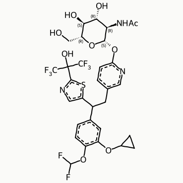 CC(=O)N[C@H]1[C@H](Oc2ccc(CC(c3ccc(OC(F)F)c(OC4CC4)c3)c3cnc(C(O)(C(F)(F)F)C(F)(F)F)s3)cn2)O[C@H](CO)[C@@H](O)[C@@H]1O